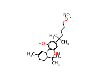 C=C(C)C1CCC(C)=C[C@H]1c1c(O)cc(C(C)(C)CCCCO[N+](=O)[O-])cc1O